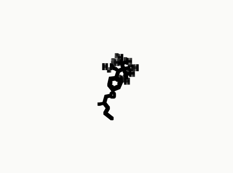 [2H]C([2H])([2H])C(O)([C@H](N)c1ccc(OC[C@H](C)CCC)cc1)C([2H])([2H])[2H]